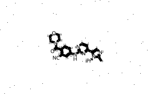 Cc1ncc(-c2ccnc(Nc3ccc(C(=O)N4CCOCC4)c(C#N)c3)n2)n1C(C)C